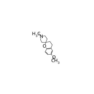 COc1ccc2c(c1)CCC1(CCN(C)CC1)O2